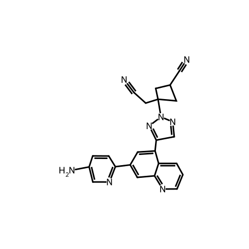 N#CCC1(n2ncc(-c3cc(-c4ccc(N)cn4)cc4ncccc34)n2)CC(C#N)C1